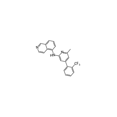 Cc1cc(-c2ccccc2C(F)(F)F)cc(Nc2cccc3cnccc23)n1